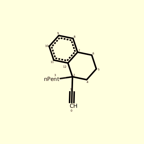 C#CC1(CCCCC)CCCc2ccccc21